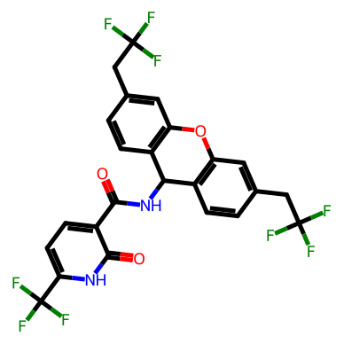 O=C(NC1c2ccc(CC(F)(F)F)cc2Oc2cc(CC(F)(F)F)ccc21)c1ccc(C(F)(F)F)[nH]c1=O